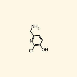 NCc1ccc(O)c(Cl)n1